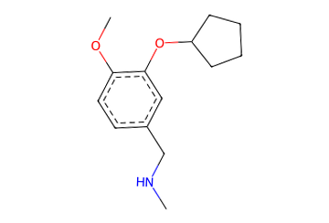 CNCc1ccc(OC)c(OC2CCCC2)c1